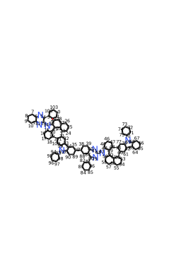 c1ccc(-c2nc3ccccc3nc2-n2c3cccc4c3c3c5c(cccc5ccc32)-c2cc3c5cc(-c6ccc7nc(-n8c9cccc%10c9c9c%11c(cccc%11ccc98)-c8cc9c%11ccccc%11n(-c%11ccccc%11)c9cc8-%10)nc(-c8ccccc8)c7c6)ccc5n(-c5ccccc5)c3cc2-4)cc1